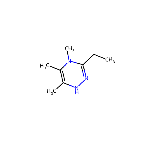 CCC1=NNC(C)=C(C)N1C